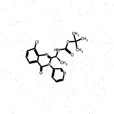 C[C@H](NC(=O)OC(C)(C)C)c1nc2c(Cl)cccc2c(=O)n1-c1cccnc1